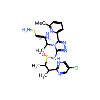 COc1cccc(-c2nnc(N[S+]([O-])C(C)C(C)c3ncc(Cl)cn3)n2C(C)/C(N)=C/SN)n1